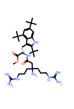 COC(=O)[C@H](Cc1c(C(C)(C)C)[nH]c2cc(C(C)(C)C)cc(C(C)(C)C)c12)NC(=O)CC(N)(CCCNC(=N)N)CCCNC(=N)N